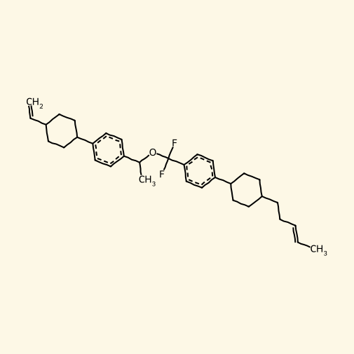 C=CC1CCC(c2ccc(C(C)OC(F)(F)c3ccc(C4CCC(CC/C=C/C)CC4)cc3)cc2)CC1